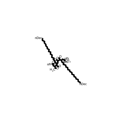 C=C1OC(=O)C(C(CCCCCCCCCCCCCCCCCCCCCCCCCCCC)CC2C(=O)OC(=O)C2C(CCCCCCCCCCCCCCCCCCCCCCCCCCCC)CC(C)(CCC)CCCC)C1CC(C)(CCC)CCC